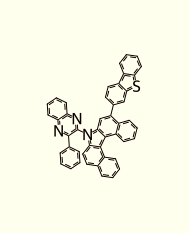 c1ccc(-c2nc3ccccc3nc2-n2c3ccc4ccccc4c3c3c4ccccc4c(-c4ccc5c(c4)sc4ccccc45)cc32)cc1